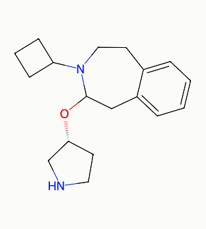 c1ccc2c(c1)CCN(C1CCC1)C(O[C@@H]1CCNC1)C2